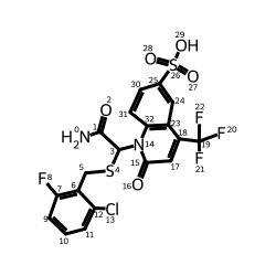 NC(=O)C(SCc1c(F)cccc1Cl)n1c(=O)cc(C(F)(F)F)c2cc(S(=O)(=O)O)ccc21